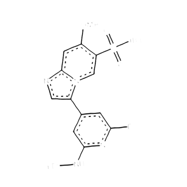 CCCNc1cc(-c2cnc3cc(OC)c(S(=O)(=O)C(C)(C)C)cn23)cc(F)n1